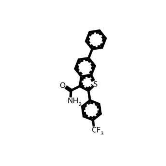 NC(=O)c1c(-c2ccc(C(F)(F)F)cc2)sc2cc(-c3ccccc3)ccc12